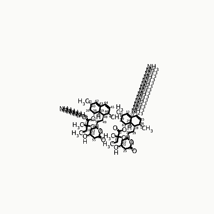 CCC(C)(C)C(=O)O[C@@H]1C[C@H](C)C=C2C=C[C@@H](C)[C@@H](CC[C@@H]3C[C@H](O)CC(=O)O3)[C@@H]21.CCC(C)(C)C(=O)O[C@@H]1C[C@H](C)C=C2C=C[C@@H](C)[C@@H](CC[C@@H]3C[C@H](O)CC(=O)O3)[C@@H]21.N.N.N.N.N.N.N.N.N.N.N.N.N.N.N.N.N.N.N.N